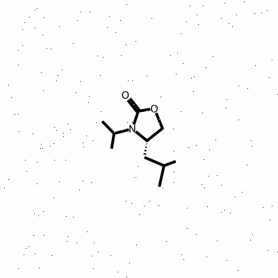 CC(C)C[C@H]1COC(=O)N1C(C)C